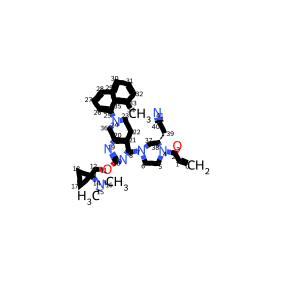 C=CC(=O)N1CCN(c2nc(OCC3(N(C)C)CC3)nc3c2CCN(c2cccc4cccc(C)c24)C3)C[C@@H]1CC#N